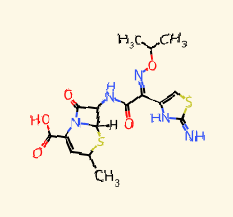 CC(C)ON=C(C(=O)NC1C(=O)N2C(C(=O)O)=CC(C)S[C@@H]12)c1csc(=N)[nH]1